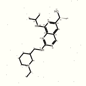 CCN1CCCC(CNc2ncc3cc([C@@H](C)O)nc(NC(C)C)c3n2)C1